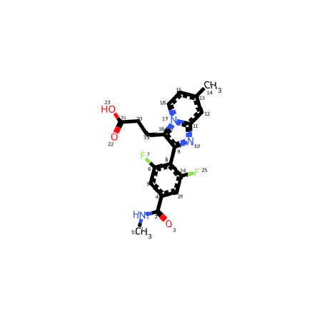 CNC(=O)c1cc(F)c(-c2nc3cc(C)ccn3c2CCC(=O)O)c(F)c1